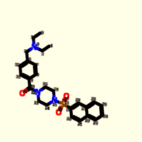 CCN(CC)Cc1ccc(C(=O)N2CCN(S(=O)(=O)c3ccc4ccccc4c3)CC2)cc1